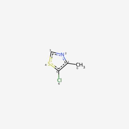 Cc1ncsc1Cl